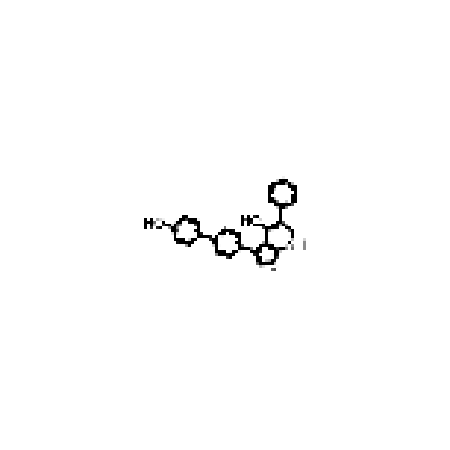 OC1=C(c2ccccc2)CNc2scc(-c3ccc(-c4ccc(O)cc4)cc3)c21